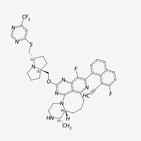 C#Cc1c(F)ccc2cccc(-c3nc4c5c(nc(OC[C@@]67CCCN6[C@H](CSc6cc(C(F)(F)F)ncn6)CC7)nc5c3F)N3CCN[C@@H](C)[C@H]3CCC4)c12